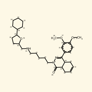 COc1ccc(C2=NN(CCCCCNCC3CCC(C4CCCCC4)O3)C(=O)C3CC=CCC23)cc1OC